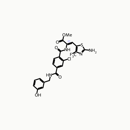 COC(=O)/C(=C/c1sc(N)nc1C(F)(F)F)NC(=O)c1ccc(C(=O)NCc2cccc(O)c2)cc1Cl